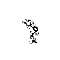 Cc1nc(C(=O)Nc2ccc(Cl)c([C@]3(C)CS(=O)(=O)N(C)C(=N)N3)c2)co1